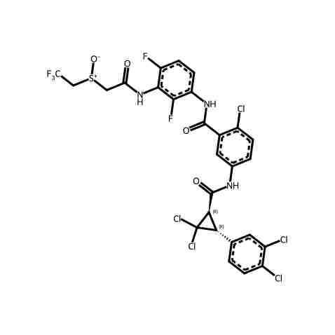 O=C(C[S+]([O-])CC(F)(F)F)Nc1c(F)ccc(NC(=O)c2cc(NC(=O)[C@H]3[C@H](c4ccc(Cl)c(Cl)c4)C3(Cl)Cl)ccc2Cl)c1F